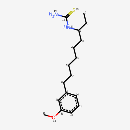 CCC(CCCCCCc1cccc(OC)c1)NC(N)=S